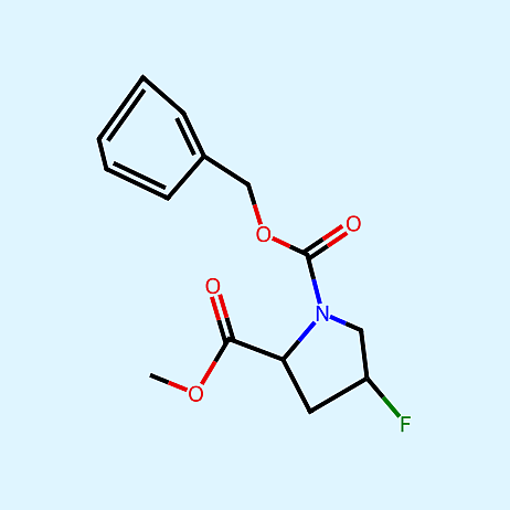 COC(=O)C1CC(F)CN1C(=O)OCc1ccccc1